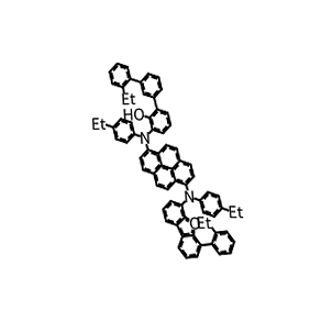 CCc1ccc(N(c2cccc(-c3cccc(-c4ccccc4CC)c3)c2O)c2ccc3ccc4c(N(c5ccc(CC)cc5)c5cccc6c5oc5c(-c7ccccc7CC)cccc56)ccc5ccc2c3c54)cc1